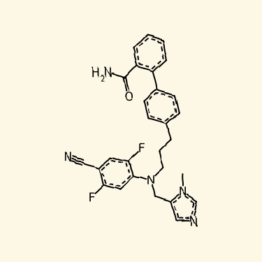 Cn1cncc1CN(CCCc1ccc(-c2ccccc2C(N)=O)cc1)c1cc(F)c(C#N)cc1F